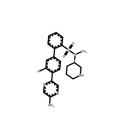 CN([C@@H]1CCCNC1)S(=O)(=O)c1ccccc1-c1ccc(-c2cnc(N)cn2)c(F)c1